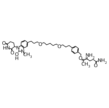 C[C@@H](OCc1ccc(CCCOCCCCCOCCCc2ccc3c(c2)N(C)C(O)N3C2CCC(=O)NC2=O)cc1)[C@@H](N)CCC(N)=O